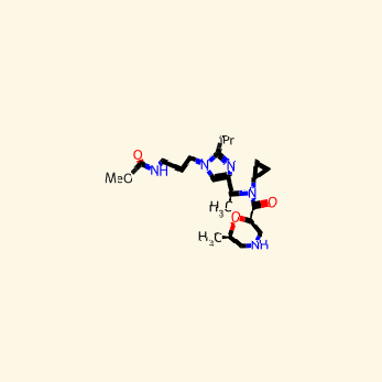 COC(=O)NCCCn1cc([C@@H](C)N(C(=O)[C@H]2CNC[C@@H](C)O2)C2CC2)nc1C(C)C